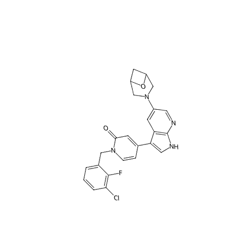 O=c1cc(-c2c[nH]c3ncc(N4CC5CC(C4)O5)cc23)ccn1Cc1cccc(Cl)c1F